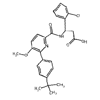 COc1ccc(C(=O)N[C@@H](CC(=O)O)c2ccccc2Cl)nc1-c1ccc(C(C)(C)C)cc1